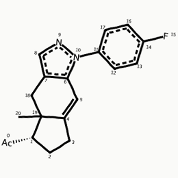 CC(=O)[C@H]1CCC2=Cc3c(cnn3-c3ccc(F)cc3)CC21C